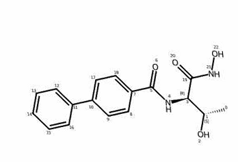 C[C@H](O)[C@@H](NC(=O)c1ccc(-c2ccccc2)cc1)C(=O)NO